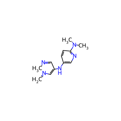 C=N/C=C(\C=N/C)Nc1ccc(N(C)C)nc1